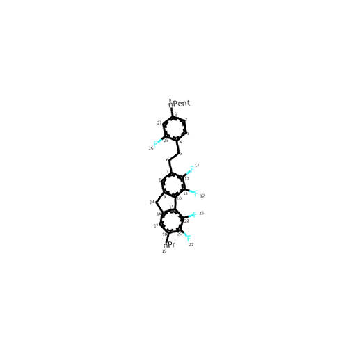 CCCCCc1ccc(CCc2cc3c(c(F)c2F)-c2c(cc(CCC)c(F)c2F)C3)c(F)c1